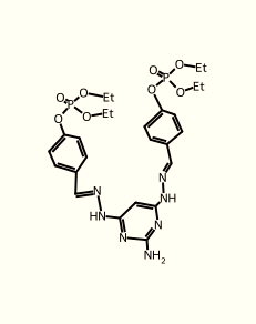 CCOP(=O)(OCC)Oc1ccc(/C=N/Nc2cc(N/N=C/c3ccc(OP(=O)(OCC)OCC)cc3)nc(N)n2)cc1